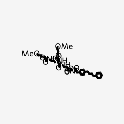 COCCCOC(=O)N[C@@H](CCCNC(=O)COCCOC)C(=O)NCCC(=O)ONC(=O)Cc1ccc(CCCCc2ccccc2)cc1